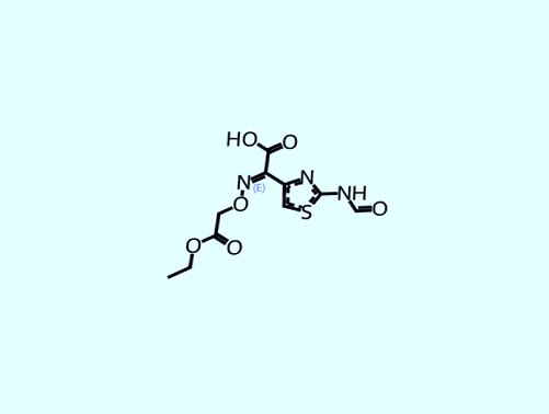 CCOC(=O)CO/N=C(/C(=O)O)c1csc(NC=O)n1